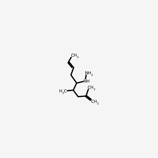 C=C(C)CC(C)C(CC=CC)NN